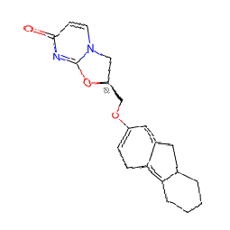 O=c1ccn2c(n1)O[C@H](COC1=CCC3=C4CCCCC4CC3=C1)C2